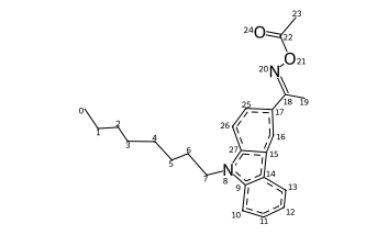 CCCCCCCCn1c2ccccc2c2cc(/C(C)=N/OC(C)=O)ccc21